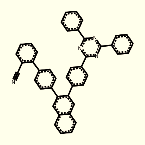 N#Cc1ccccc1-c1ccc(-c2cc3ccccc3cc2-c2ccc(-c3nc(-c4ccccc4)nc(-c4ccccc4)n3)cc2)cc1